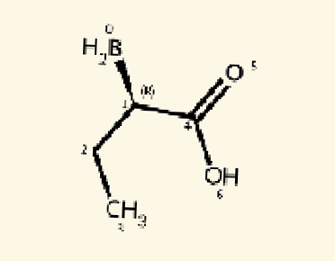 B[C@H](CC)C(=O)O